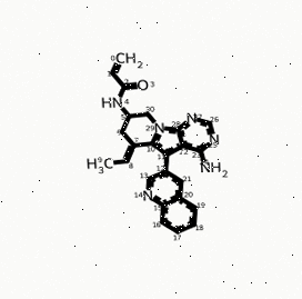 C=CC(=O)NC1CC(=CC)c2c(-c3cnc4ccccc4c3)c3c(N)ncnc3n2C1